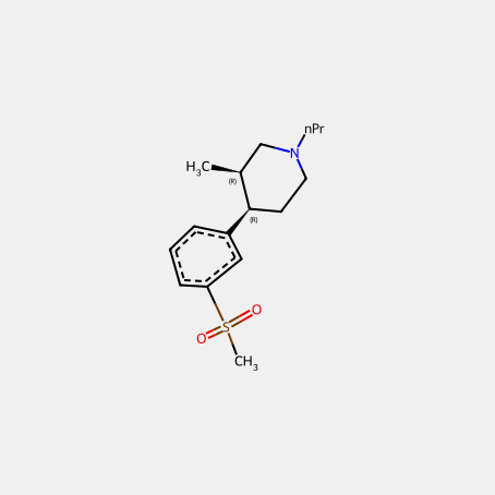 CCCN1CC[C@@H](c2cccc(S(C)(=O)=O)c2)[C@@H](C)C1